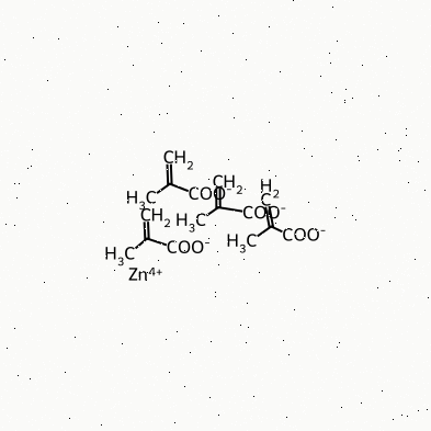 C=C(C)C(=O)[O-].C=C(C)C(=O)[O-].C=C(C)C(=O)[O-].C=C(C)C(=O)[O-].[Zn+4]